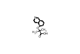 CC(C)(Oc1cccc2cnccc12)C(=O)O